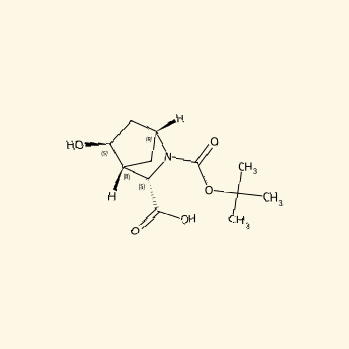 CC(C)(C)OC(=O)N1[C@@H]2C[C@H]([C@H]1C(=O)O)[C@@H](O)C2